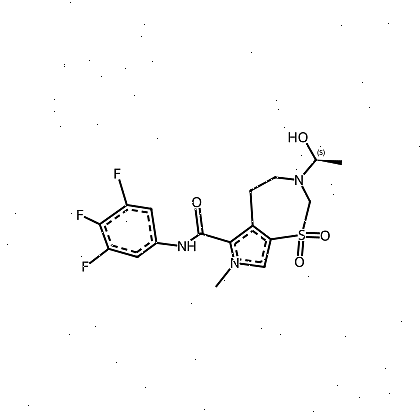 C[C@H](O)N1CCc2c(cn(C)c2C(=O)Nc2cc(F)c(F)c(F)c2)S(=O)(=O)C1